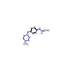 CN1CCN(Cc2ccc(CNC=O)cc2)CC1